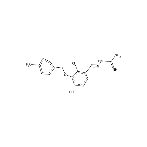 Cl.N=C(N)N/N=C/c1cccc(OCc2ccc(C(F)(F)F)cc2)c1Cl